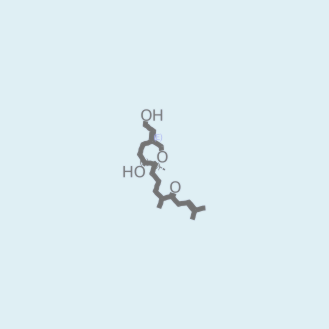 CC(C)=CCC(=O)C(C)CCC[C@]1(C)OC/C(=C/CO)CC[C@@H]1O